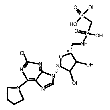 O=P(O)(O)CP(=O)(O)NC[C@H]1O[C@@H](n2cnc3c(N4CCCC4)nc(Cl)nc32)C(O)C1O